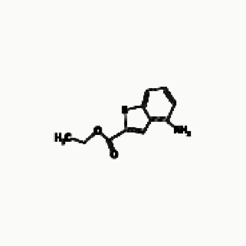 CCOC(=O)c1cc2c(N)cccc2s1